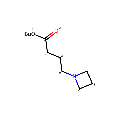 CC(C)COC(=O)CCCN1CCC1